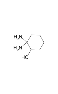 NC1(N)CCCCC1O